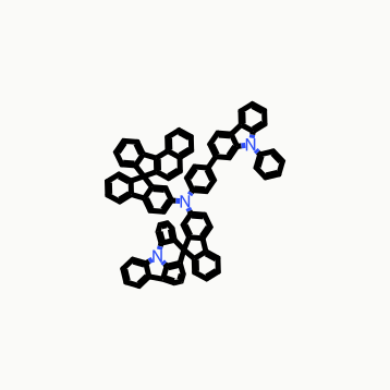 c1ccc(-n2c3ccccc3c3ccc(-c4ccc(N(c5ccc6c(c5)C5(c7ccccc7-6)c6ccccc6-c6c5ccc5ccccc65)c5ccc6c(c5)C5(c7ccccc7-6)c6ccccc6-n6c7ccccc7c7cccc5c76)cc4)cc32)cc1